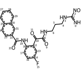 N=C(N=O)NCCCNC(=O)C(=O)c1cc(F)ccc1NC(=O)c1ccc2ccccc2c1